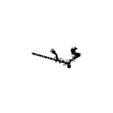 COCCOCCOCCOCCOCCOCCOCCOCCNC(=O)[C@H](CCC(=O)NCC(=O)NCC(=O)N[C@@H](Cc1ccccc1)C(=O)NCC(=O)NCOCC(=O)N[C@H]1CCc2c(C)c(F)cc3nc4c(c1c23)Cn1c-4cc2c(c1=O)COC(=O)[C@]2(O)CC1CC1)NC(=O)CCCC#Cc1cnc(S(C)(=O)=O)nc1